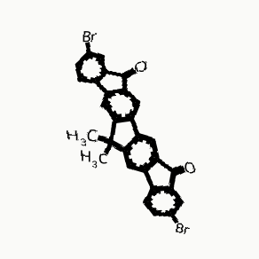 CC1(C)c2cc3c(cc2-c2cc4c(cc21)-c1ccc(Br)cc1C4=O)C(=O)c1cc(Br)ccc1-3